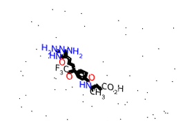 C[C@H](CCC(=O)O)NC(=O)c1ccc(C(CCCc2c(N)nc(N)[nH]c2=O)C(=O)C(F)(F)F)cc1